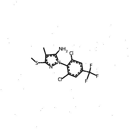 CSc1nn(-c2c(Cl)cc(C(F)(F)F)cc2Cl)c(N)c1C